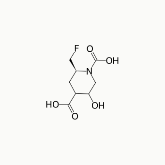 O=C(O)C1C[C@@H](CF)N(C(=O)O)CC1O